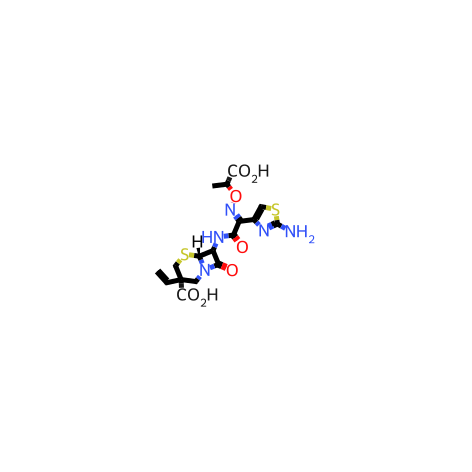 C=CC1(C(=O)O)CS[C@@H]2C(NC(=O)C(=NOC(C)C(=O)O)c3csc(N)n3)C(=O)N2C1